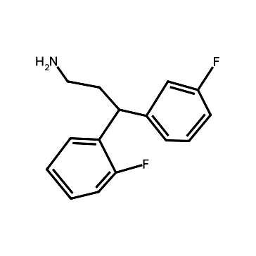 NCCC(c1cccc(F)c1)c1ccccc1F